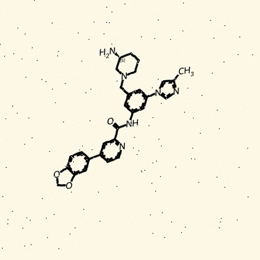 Cc1cn(-c2cc(CN3CCC[C@H](N)C3)cc(NC(=O)c3cc(-c4ccc5c(c4)OCO5)ccn3)c2)cn1